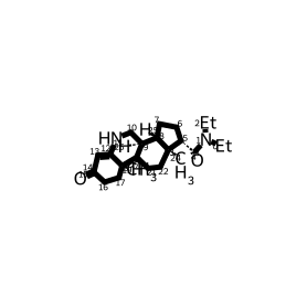 CCN(CC)C(=O)[C@H]1CC[C@H]2[C@@H]3CNC4=CC(=O)CC[C@]4(C)[C@H]3CC[C@]12C